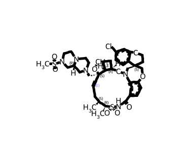 CO[C@]1(CN2CCN3CCN(S(C)(=O)=O)C[C@H]3C2)/C=C/C[C@H](C)[C@@H](C)S(=O)(=O)NC(=O)c2ccc3c(c2)N(C[C@@H]2CC[C@H]21)C[C@@]1(CCCc2cc(Cl)ccc21)CO3